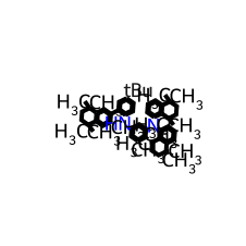 Cc1cc(Nc2ccc(C(C)(C)C)cc2-c2cc3c(cc2C)C(C)(C)CCC3(C)C)cc(N(c2cccc3c2C(C)(C)CCC3(C)C)c2cccc3c2C(C)(C)CCC3(C)C)c1